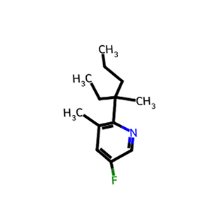 CCCC(C)(CC)c1ncc(F)cc1C